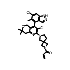 C=CC(=O)N1CC2(CCN(c3nc4c(c(-c5c(C)c(Cl)cc6[nH]ncc56)c3Cl)COC(C)(C)C4)C2)C1